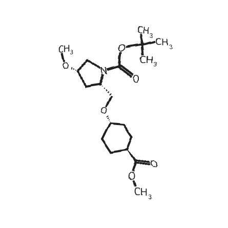 COC(=O)[C@H]1CC[C@H](OC[C@@H]2C[C@H](OC)CN2C(=O)OC(C)(C)C)CC1